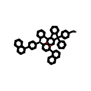 CC(C)(C)c1ccc(C2(c3ccccc3)c3ccccc3-c3c(-c4ccccc4N(c4ccc(-c5cccc6ccccc56)cc4)c4ccc(-c5cccc6ccccc56)cc4)cccc32)cc1